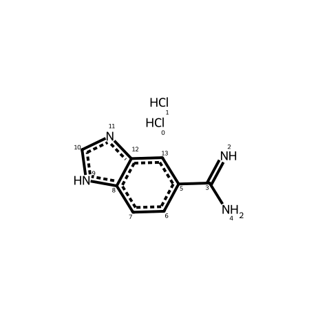 Cl.Cl.N=C(N)c1ccc2[nH]cnc2c1